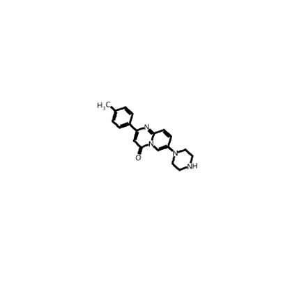 Cc1ccc(-c2cc(=O)n3cc(N4CCNCC4)ccc3n2)cc1